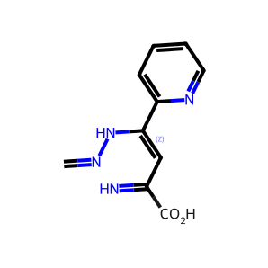 C=NN/C(=C\C(=N)C(=O)O)c1ccccn1